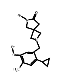 [2H]N1CC2(CC1=O)CN(Cc1cc(OCC)c(C)cc1C1CC1)C2